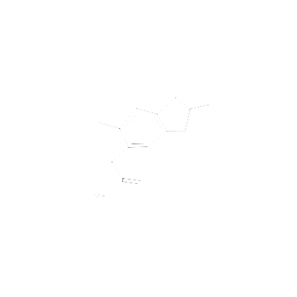 CCC1Cc2cc(C=O)c(CC(=O)OC)cc2C1